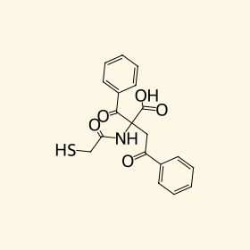 O=C(CS)NC(CC(=O)c1ccccc1)(C(=O)O)C(=O)c1ccccc1